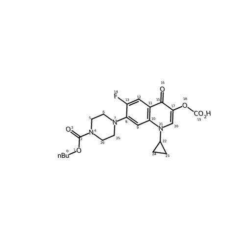 CCCCOC(=O)N1CCN(c2cc3c(cc2F)c(=O)c(OC(=O)O)cn3C2CC2)CC1